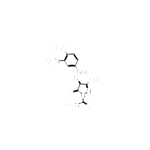 CC1=NN(C(N)=S)C(=O)/C1=N/Nc1ccc(C)c([N+](=O)[O-])c1